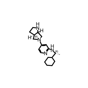 C[C@@H](Nc1cc(N2C[C@H]3CCN[C@H]3C2)ccn1)C1CCCCC1